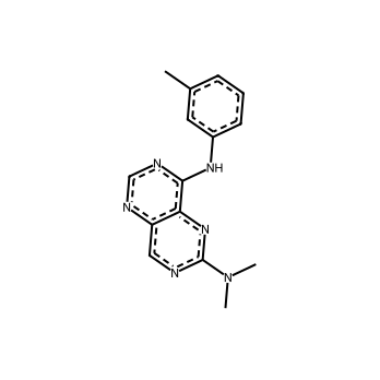 Cc1cccc(Nc2ncnc3cnc(N(C)C)nc23)c1